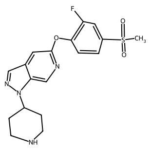 CS(=O)(=O)c1ccc(Oc2cc3cnn(C4CCNCC4)c3cn2)c(F)c1